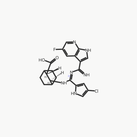 N=C(/N=C(/N[C@H]1C2CCC(CC2)[C@@H]1C(=O)O)c1cc(Cl)c[nH]1)c1c[nH]c2ncc(F)cc12